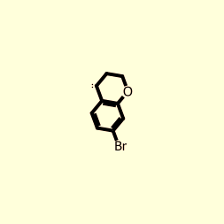 Brc1ccc2c(c1)OCC[C]2